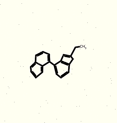 CCC1=Cc2c(cccc2-c2cccc3ccccc23)[CH]1